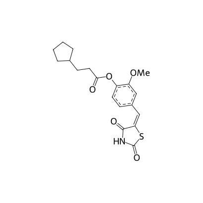 COc1cc(C=C2SC(=O)NC2=O)ccc1OC(=O)CCC1CCCC1